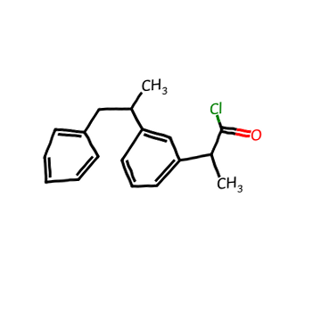 CC(Cc1ccccc1)c1cccc(C(C)C(=O)Cl)c1